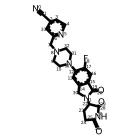 N#Cc1ccnc(CN2CCN(c3cc4c(cc3F)C(=O)N(C3CCC(=O)NC3=O)C4)CC2)c1